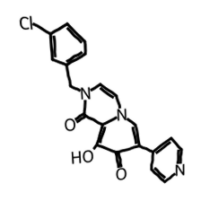 O=c1c(-c2ccncc2)cn2ccn(Cc3cccc(Cl)c3)c(=O)c2c1O